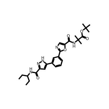 CCC(CC)NC(=O)c1cc(-c2cccc(-c3ncc(C(=O)NC(C)(C)C(=O)OC(C)(C)C)o3)c2)[nH]n1